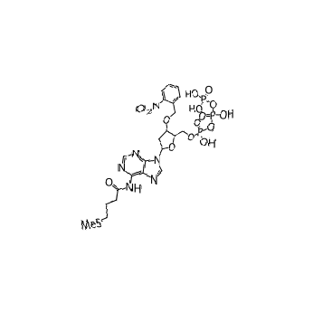 CSCCCC(=O)Nc1ncnc2c1ncn2C1CC(OCc2ccccc2[N+](=O)[O-])C(COP(=O)(O)OP(=O)(O)OP(=O)(O)O)O1